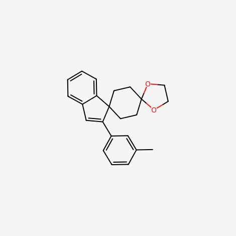 Cc1cccc(C2=Cc3ccccc3C23CCC2(CC3)OCCO2)c1